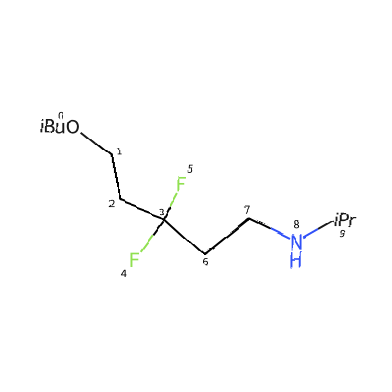 CC(C)COCCC(F)(F)CCNC(C)C